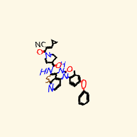 Cc1cc(Oc2ccccc2)ccc1N1C(=O)Nc2c(NC(=O)C3CCN(C(=O)C(C#N)=CC4CC4)CC3)sc3nccc1c23